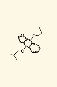 CC(C)COc1c2ccccc2c(OCC(C)C)c2occc12